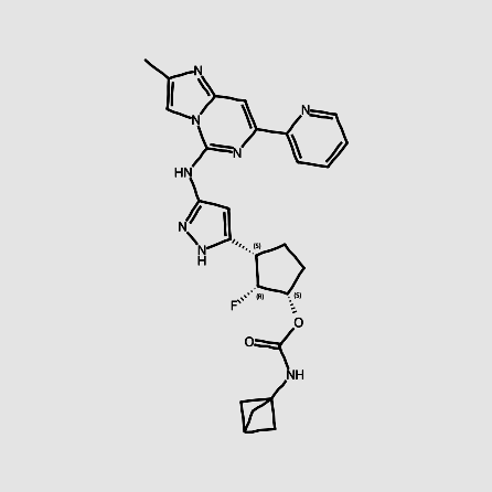 Cc1cn2c(Nc3cc([C@@H]4CC[C@H](OC(=O)NC56CC(C5)C6)[C@@H]4F)[nH]n3)nc(-c3ccccn3)cc2n1